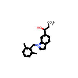 Cc1cccc(C)c1Cn1ccc2ccc(C(O)CC(=O)O)cc21